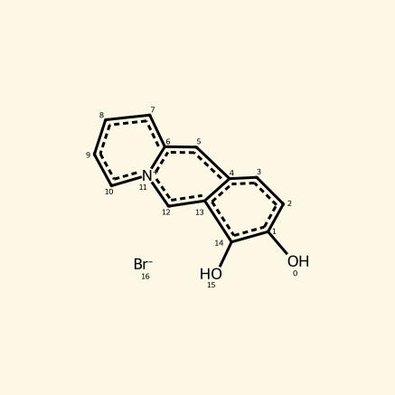 Oc1ccc2cc3cccc[n+]3cc2c1O.[Br-]